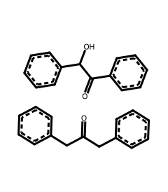 O=C(Cc1ccccc1)Cc1ccccc1.O=C(c1ccccc1)C(O)c1ccccc1